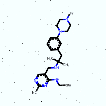 CC(C)N1CCN(c2cccc(CC(C)(C)NCc3cnc(C#N)nc3NCC(C)(C)C)c2)CC1